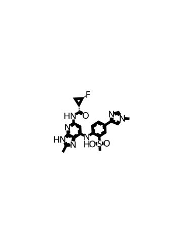 Cc1nc2c(Nc3ccc(-c4cn(C)cn4)cc3S(C)(=O)=O)cc(NC(=O)[C@@H]3C[C@@H]3F)nc2[nH]1